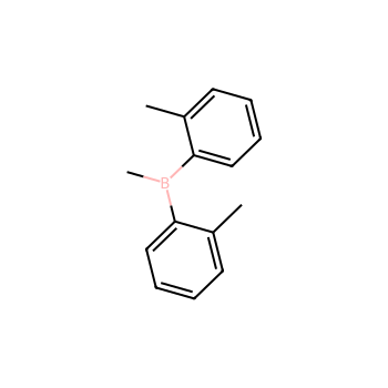 CB(c1ccccc1C)c1ccccc1C